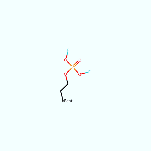 CCCCCCCOP(=O)(OF)OF